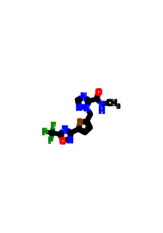 CNC(=O)c1ncnn1Cc1ccc(-c2noc(C(F)(F)F)n2)s1